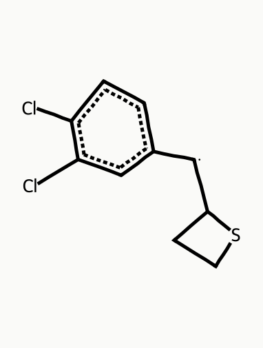 Clc1ccc([CH]C2CCS2)cc1Cl